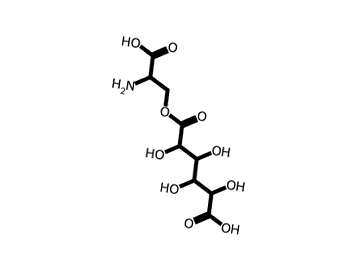 NC(COC(=O)C(O)C(O)C(O)C(O)C(=O)O)C(=O)O